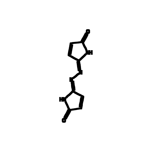 O=C1C=CC(=NN=C2C=CC(=O)N2)N1